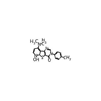 Cc1ccc(-n2cnc3c(c2=O)SC2C3=C(N(C)C)C=CN2O)cc1